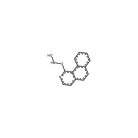 OBOc1nccc2ccc3ccccc3c12